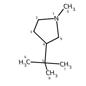 CN1CCC(C(C)(C)C)C1